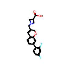 O=C(O)C1CN(CC2=Cc3ccc(-c4ccc(F)cc4F)cc3OC2)C1